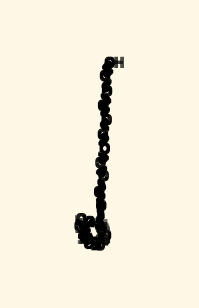 CO[Si](CC[Si](C)(C)O[Si](C)(C)O[Si](C)(C)O[Si](C)(C)[Si](C)(C)CCCOCCOCCOCCOCCOCCOCCOCCOCCOCCOCCO)(OC)OC